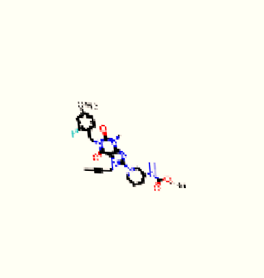 CC#CCn1c(N2CCC[C@@H](NC(=O)OC(C)(C)C)C2)nc2c1c(=O)n(Cc1ccc(OC)cc1F)c(=O)n2C